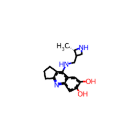 C[C@@H]1NCC1CNc1c2c(nc3cc(O)c(O)cc13)CCC2